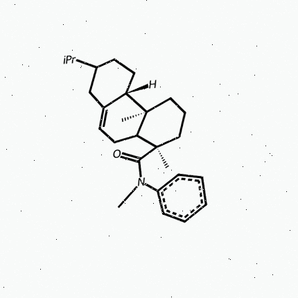 CC(C)C1CC[C@H]2C(=CCC3[C@](C)(C(=O)N(C)c4ccccc4)CCC[C@@]32C)C1